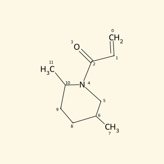 C=CC(=O)N1CC(C)CCC1C